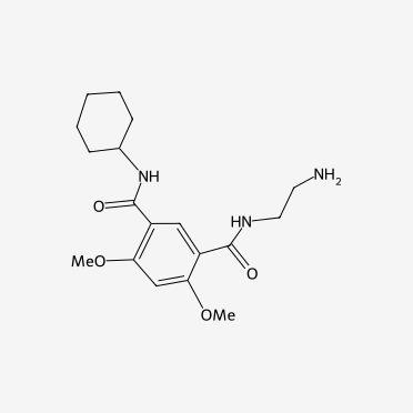 COc1cc(OC)c(C(=O)NC2CCCCC2)cc1C(=O)NCCN